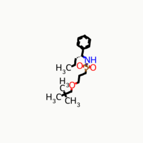 CCC[C@@H](NS(=O)(=O)CCCOCC(C)(C)C)c1ccccc1